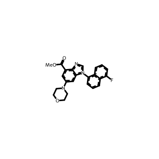 COC(=O)c1cc(N2CCOCC2)cc2c1ncn2-c1cccc2c(F)cccc12